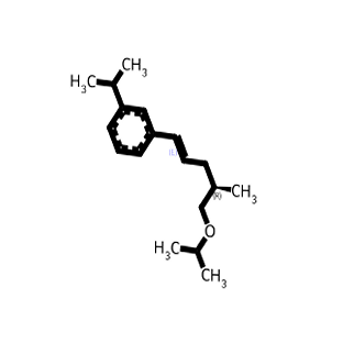 CC(C)OC[C@H](C)C/C=C/c1cccc(C(C)C)c1